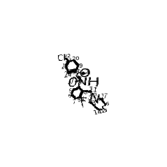 O=S(=O)(Nc1cccc(F)c1CN1CCSCC1)c1ccc(Cl)cc1